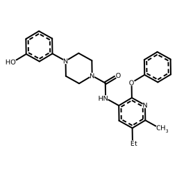 CCc1cc(NC(=O)N2CCN(c3cccc(O)c3)CC2)c(Oc2ccccc2)nc1C